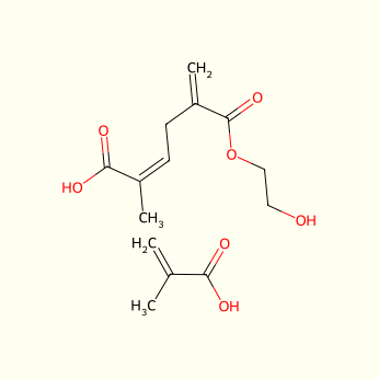 C=C(C)C(=O)O.C=C(CC=C(C)C(=O)O)C(=O)OCCO